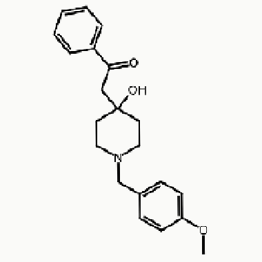 COc1ccc(CN2CCC(O)(CC(=O)c3ccccc3)CC2)cc1